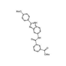 COC(=O)c1cccc(C(=O)Nc2ccc3[nH]c(-c4ccc(OC)cc4)nc3c2)c1